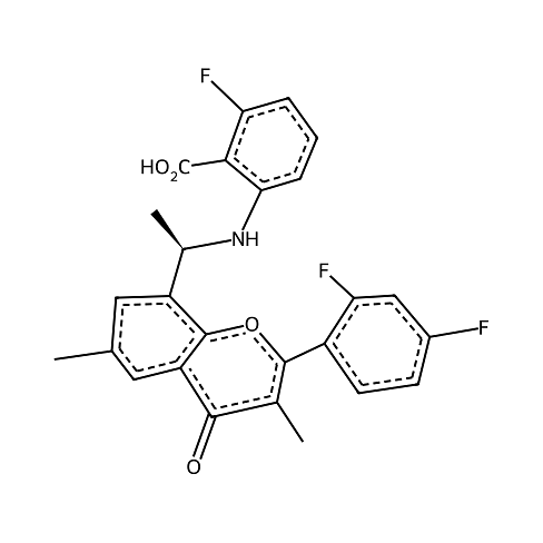 Cc1cc([C@@H](C)Nc2cccc(F)c2C(=O)O)c2oc(-c3ccc(F)cc3F)c(C)c(=O)c2c1